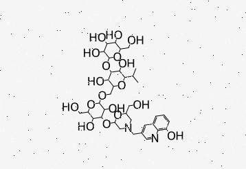 CC(C)C1OC(COC2OC(CO)C(O)C(OC3CN(Cc4cnc5c(O)cccc5c4)CC(CO)O3)C2O)C(O)C(OC2OC(CO)C(O)C(O)C2O)C1O